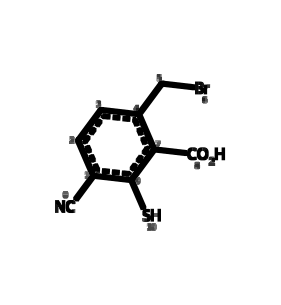 N#Cc1ccc(CBr)c(C(=O)O)c1S